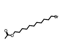 CC(=O)OCCCCCCCCCCCBr